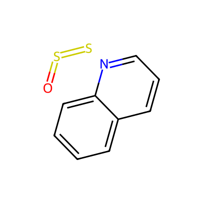 O=S=S.c1ccc2ncccc2c1